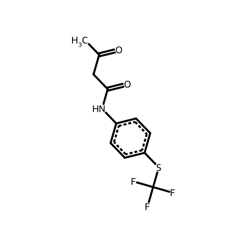 CC(=O)CC(=O)Nc1ccc(SC(F)(F)F)cc1